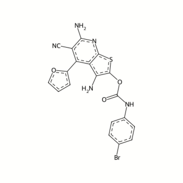 N#Cc1c(N)nc2sc(OC(=O)Nc3ccc(Br)cc3)c(N)c2c1-c1ccco1